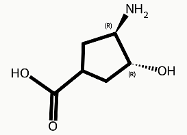 N[C@@H]1CC(C(=O)O)C[C@H]1O